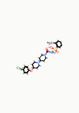 Cc1ccccc1S(=O)(=O)NC(=O)N1CCC(N2CCC(Oc3ccc(Cl)cc3)CC2)CC1